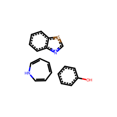 C1=CC=CNC=C1.Oc1ccccc1.c1ccc2scnc2c1